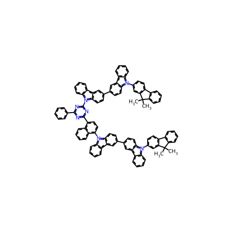 CC1(C)c2ccccc2-c2ccc(-n3c4ccccc4c4cc(-c5ccc6c(c5)c5ccccc5n6-c5nc(-c6ccccc6)nc(-c6ccc(-n7c8ccccc8c8cc(-c9ccc%10c(c9)c9ccccc9n%10-c9ccc%10c(c9)C(C)(C)c9ccccc9-%10)ccc87)c7ccccc67)n5)ccc43)cc21